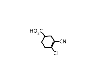 N#CC1=C(Cl)CCC(C(=O)O)C1